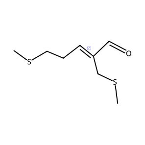 CSCC/C=C(/C=O)CSC